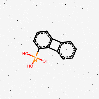 O[PH](O)(O)c1cccc2c1-c1ccccc1-2